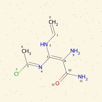 C=CNC(/N=C(\C)Cl)=C(\N)C(N)=O